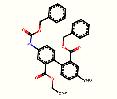 COCOC(=O)c1cc(NC(=O)OCc2ccccc2)ccc1-c1ccc(C=O)cc1C(=O)OCc1ccccc1